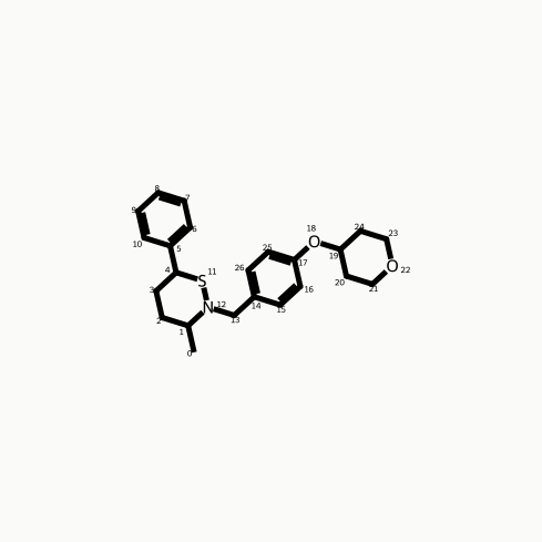 CC1CCC(c2ccccc2)SN1Cc1ccc(OC2CCOCC2)cc1